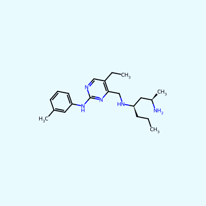 CCC[C@H](C[C@@H](C)N)NCc1nc(Nc2cccc(C)c2)ncc1CC